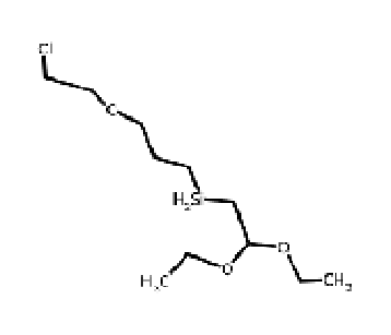 CCOC(C[SiH2]CCCCCCCl)OCC